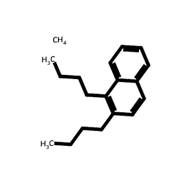 C.CCCCc1ccc2ccccc2c1CCCC